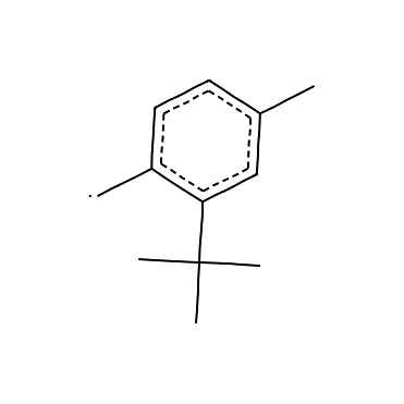 [CH2]c1ccc(C)cc1C(C)(C)C